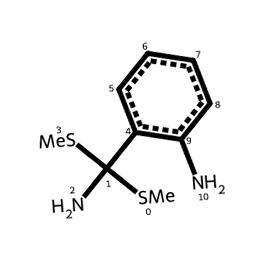 CSC(N)(SC)c1ccccc1N